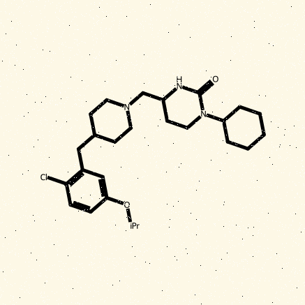 CC(C)Oc1ccc(Cl)c(CC2CCN(CC3CCN(C4CCCCC4)C(=O)N3)CC2)c1